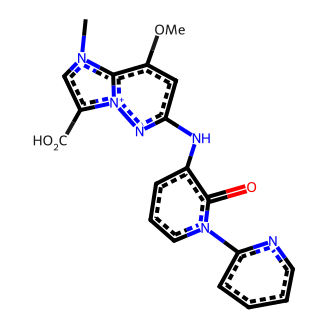 COc1cc(Nc2cccn(-c3ccccn3)c2=O)n[n+]2c(C(=O)O)cn(C)c12